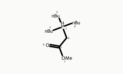 CCCC[PH](CCCC)(CCCC)CC(=O)OC